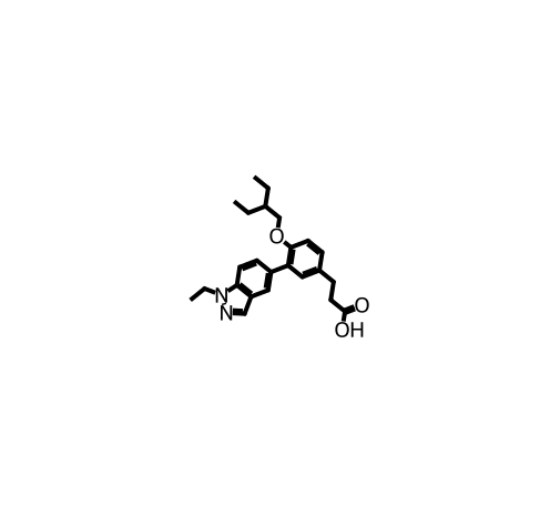 CCC(CC)COc1ccc(CCC(=O)O)cc1-c1ccc2c(cnn2CC)c1